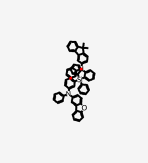 CC1(C)c2ccccc2-c2cc(N(c3ccccc3)c3ccccc3[Si](c3ccccc3)(c3ccccc3)c3cccc(N(c4ccccc4)c4ccc5oc6ccccc6c5c4)c3)ccc21